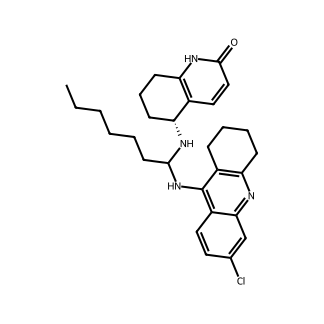 CCCCCCC(Nc1c2c(nc3cc(Cl)ccc13)CCCC2)N[C@@H]1CCCc2[nH]c(=O)ccc21